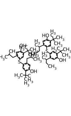 CC(C)Cc1cc(O)c(C(C)(C)C)cc1Sc1cc(C(C)(C)C)c(O)cc1CC(C)C.CCC(C)c1cc(O)c(C(C)(C)C)cc1Sc1cc(C(C)(C)C)c(O)cc1C(C)CC